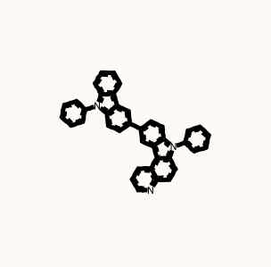 c1ccc(-n2c3ccccc3c3cc(-c4ccc5c(c4)c4c6cccnc6ccc4n5-c4ccccc4)ccc32)cc1